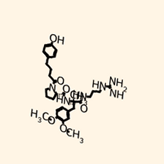 COc1ccc(C[C@](C)(NC(=O)[C@@H]2CCCN2C(=O)CCCc2ccc(O)cc2)C(=O)NCCCNC(=N)N)cc1OC